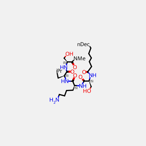 CCCCCCCCCCCCCCCC(=O)N[C@@H](CO)C(=O)N[C@@H](CCCCN)C(=O)N[C@@H](CC(C)C)C(=O)N[C@@H](CO)C(=O)NC